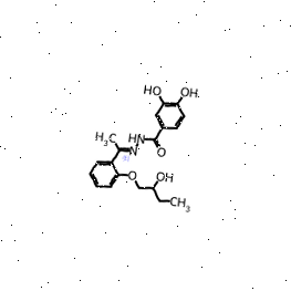 CCC(O)COc1ccccc1/C(C)=N/NC(=O)c1ccc(O)c(O)c1